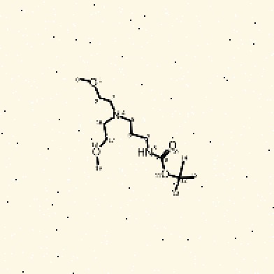 COCCN(CCCNC(=O)OC(C)(C)C)CCOC